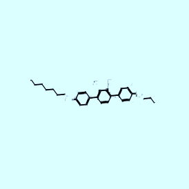 CCCCCCCOc1ccc(-c2ccc(-c3ccc(OCCC)cc3)c(F)c2F)cc1